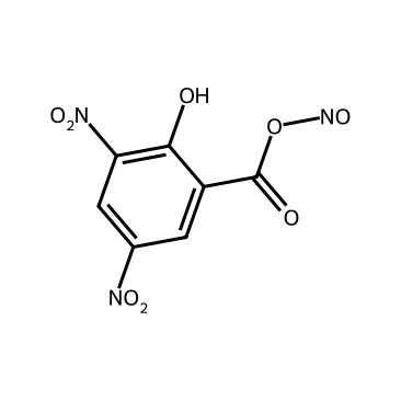 O=NOC(=O)c1cc([N+](=O)[O-])cc([N+](=O)[O-])c1O